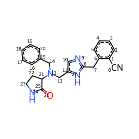 N#Cc1ccccc1Cc1ncc(CN(Cc2ccccc2)C2CCNC2=O)[nH]1